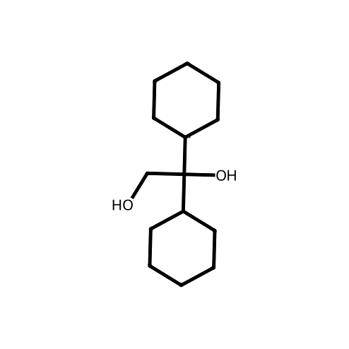 OCC(O)([C]1CCCCC1)C1CCCCC1